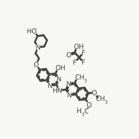 COc1cc2nc(Nc3nc(O)c4cc(OCCN5CCCC(O)C5)ccc4n3)nc(C)c2cc1OC.O=C(O)C(F)(F)F